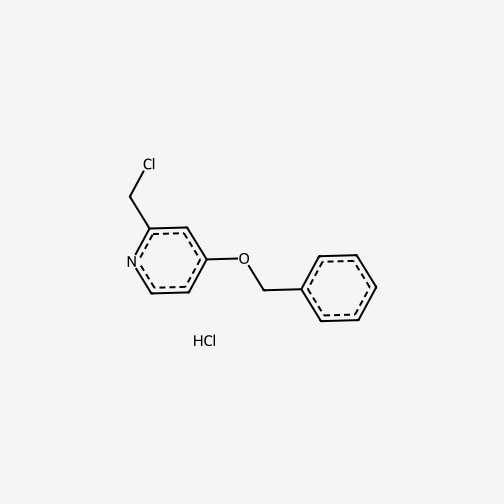 Cl.ClCc1cc(OCc2ccccc2)ccn1